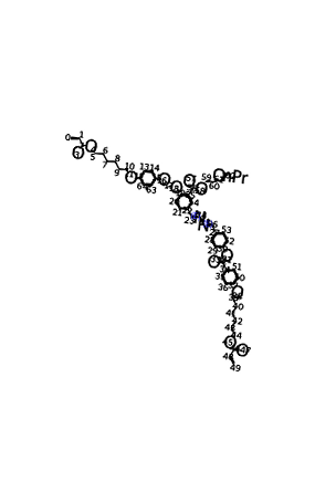 C=CC(=O)OCCCCCCOc1ccc(OCOc2ccc(/C=N/N=C/c3ccc(OC(=O)c4ccc(OCCCCCCOC(=O)C=C)cc4)cc3)cc2C(=O)OCCOCCC)cc1